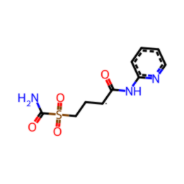 NC(=O)S(=O)(=O)CC[CH]C(=O)Nc1ccccn1